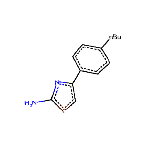 CCCCc1ccc(-c2csc(N)n2)cc1